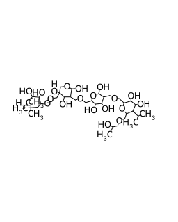 CC(O)COCC1OC(COCC2C(O)OC(COCC3C(O)OCC(O)(COOC(CC(C)(C)C)C(O)C(C)O)C3O)C(O)C2O)C(O)C(O)C1C(C)C